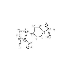 CS(=O)(=O)C1CCN(c2cccc(F)c2C=O)CC1